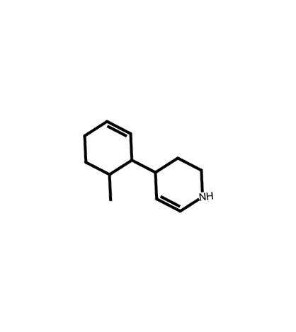 CC1CCC=CC1C1C=CNCC1